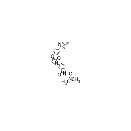 CN(C)C(=O)CN1Cc2ccc(N3CC[C@@H](Oc4ccc(-c5ncc(F)s5)cc4)C3=O)cc2C1=O